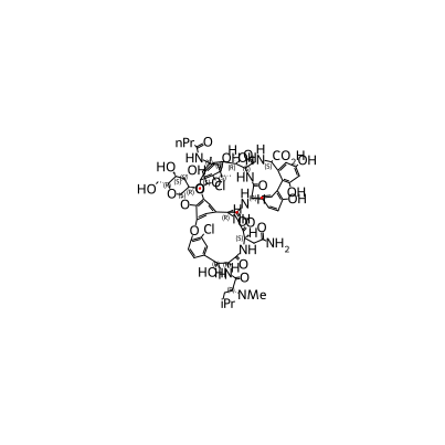 CCCC(=O)N[C@@]1(C)C[C@H](O[C@H]2[C@H](Oc3c4cc5cc3Oc3ccc(cc3Cl)[C@@H](O)[C@@H](NC(=O)[C@@H](CC(C)C)NC)C(=O)N[C@@H](CC(N)=O)C(=O)N[C@H]5C(=O)N[C@H]3C(=O)N[C@H](C(=O)N[C@H](C(=O)O)c5cc(O)cc(O)c5-c5cc3ccc5O)[C@H](O)c3ccc(c(Cl)c3)O4)O[C@H](CO)[C@@H](O)[C@@H]2O)O[C@@H](C)[C@H]1O